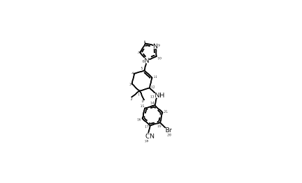 CC1(C)CCC(n2ccnc2)=CC1Nc1ccc(C#N)c(Br)c1